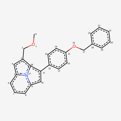 COCc1cc2cccc3cc(-c4ccc(OCc5ccccc5)cc4)c1n23